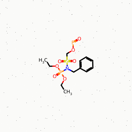 CCOP(=O)(OCC)N(Cc1ccccc1)S(=O)(=O)COP=O